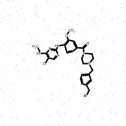 CNc1nc(Nc2ccc(C(=O)N3CCN(Cc4cccc(CBr)c4)CC3)cc2OC)ncc1Cl